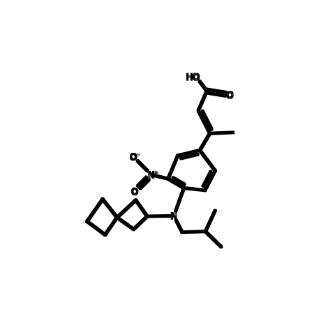 CC(=CC(=O)O)c1ccc(N(CC(C)C)C2CC3(CCC3)C2)c([N+](=O)[O-])c1